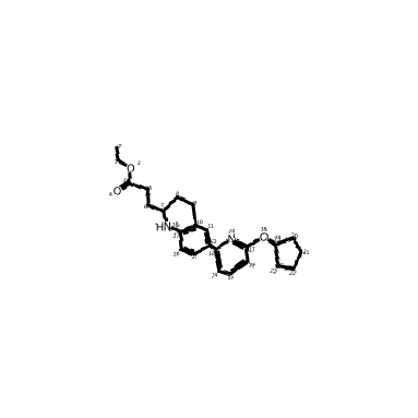 CCOC(=O)CCC1CCc2cc(-c3cccc(OC4CCCC4)n3)ccc2N1